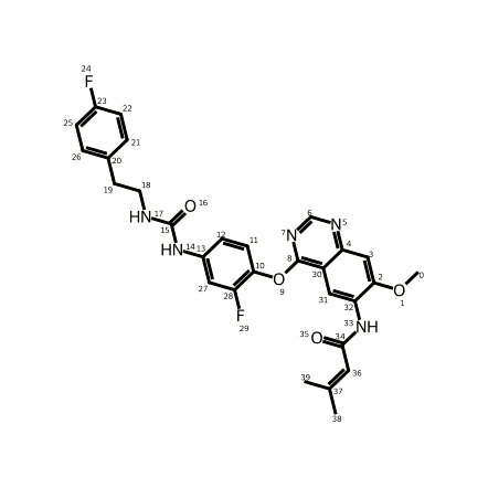 COc1cc2ncnc(Oc3ccc(NC(=O)NCCc4ccc(F)cc4)cc3F)c2cc1NC(=O)C=C(C)C